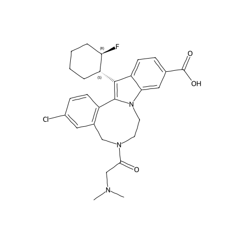 CN(C)CC(=O)N1CCn2c(c([C@@H]3CCCC[C@H]3F)c3ccc(C(=O)O)cc32)-c2ccc(Cl)cc2C1